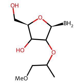 B[C@@H]1O[C@H](CO)C(O)C1OC(C)COC